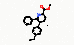 CCc1ccc(-c2ccc(C(=O)OC)nc2-c2ccccc2)cc1